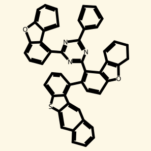 C1=Cc2c(oc3ccc(-c4cccc5sc6cc7ccccc7cc6c45)c(-c4nc(-c5ccccc5)nc(-c5cccc6oc7ccccc7c56)n4)c23)CC1